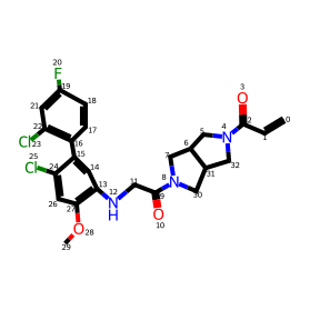 C=CC(=O)N1CC2CN(C(=O)CNc3cc(-c4ccc(F)cc4Cl)c(Cl)cc3OC)CC2C1